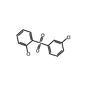 O=S(=O)(c1cccc(Cl)c1)c1ccccc1Cl